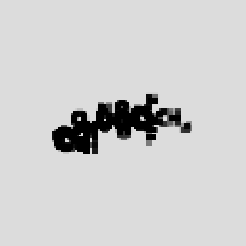 Cc1c(F)cc(S(=O)(=O)n2cc(NC(=O)c3ccccn3)cn2)cc1F